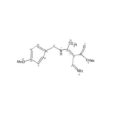 COC(=O)/C(C=N)=C(/NCc1ccc(OC)cc1)C(=O)O